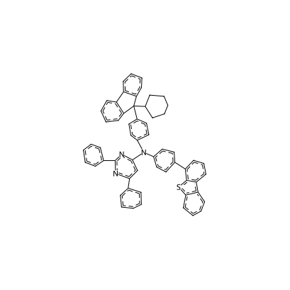 c1ccc(-c2cc(N(c3ccc(-c4cccc5c4sc4ccccc45)cc3)c3ccc(C4(C5CCCCC5)c5ccccc5-c5ccccc54)cc3)nc(-c3ccccc3)n2)cc1